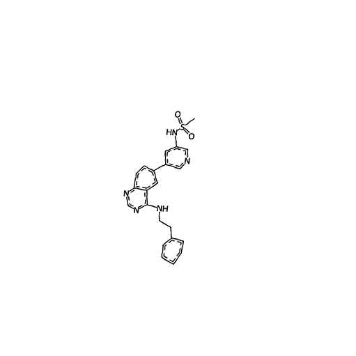 CS(=O)(=O)Nc1cncc(-c2ccc3ncnc(NCCc4ccccc4)c3c2)c1